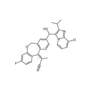 C/C(C#N)=C1\c2ccc(C(O)c3c(C(C)C)nc4c(Cl)cccn34)cc2COc2cc(F)ccc21